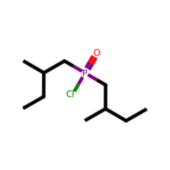 CCC(C)CP(=O)(Cl)CC(C)CC